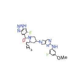 COc1cc(F)cc(Nc2ncc3c(n2)CN([C@@H]2CCN(C(=O)c4cc5nn[nH]c5cc4F)[C@H](C)C2)C3)c1